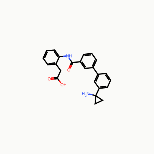 NC1(c2cccc(-c3cccc(C(=O)Nc4ccccc4CC(=O)O)c3)c2)CC1